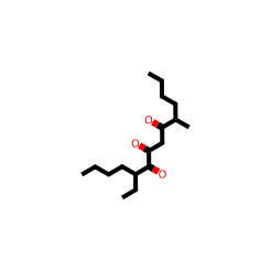 CCCCC(C)C(=O)CC(=O)C(=O)C(CC)CCCC